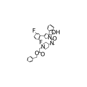 CN(C(=O)N1CC(c2cc(F)ccc2F)=CC1(CO)c1ccccc1)C1CCN(CC(=O)OCc2ccccc2)CC1